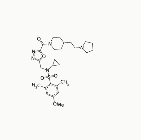 COc1cc(C)c(S(=O)(=O)N(Cc2nnc(C(=O)N3CCC(CCN4CCCC4)CC3)o2)C2CC2)c(C)c1